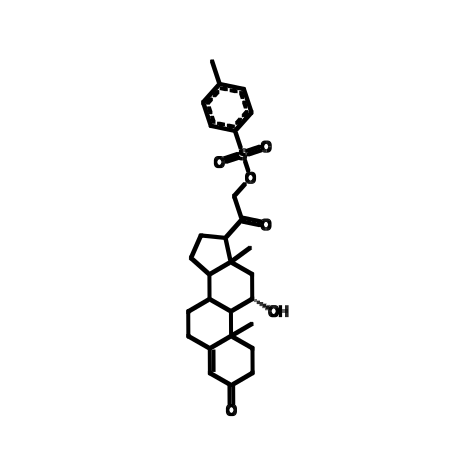 Cc1ccc(S(=O)(=O)OCC(=O)C2CCC3C4CCC5=CC(=O)CCC5(C)C4[C@@H](O)CC23C)cc1